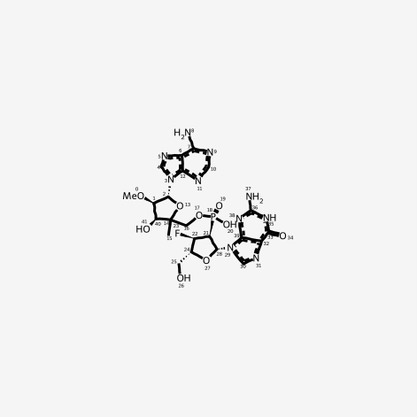 CO[C@H]1[C@H](n2cnc3c(N)ncnc32)OC(C)(COP(=O)(O)[C@@H]2[C@H](F)[C@@H](CO)O[C@H]2n2cnc3c(=O)[nH]c(N)nc32)[C@H]1O